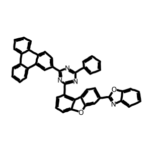 c1ccc(-c2nc(-c3ccc4c5ccccc5c5ccccc5c4c3)nc(-c3cccc4oc5cc(-c6nc7ccccc7o6)ccc5c34)n2)cc1